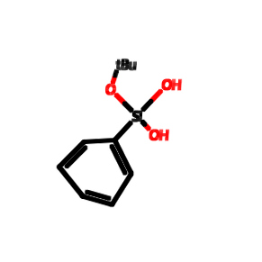 CC(C)(C)O[Si](O)(O)c1ccccc1